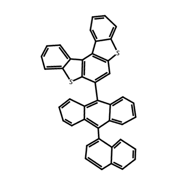 c1ccc2c(-c3c4ccccc4c(-c4cc5sc6ccccc6c5c5c4sc4ccccc45)c4ccccc34)cccc2c1